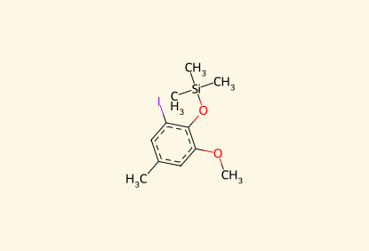 COc1cc(C)cc(I)c1O[Si](C)(C)C